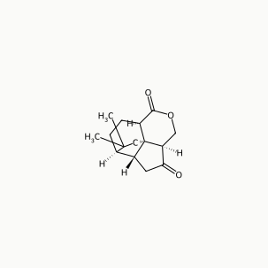 CC1(C)C[C@@]23[C@@H]4CC(=O)[C@@H]2COC(=O)[C@@H]3CC[C@H]41